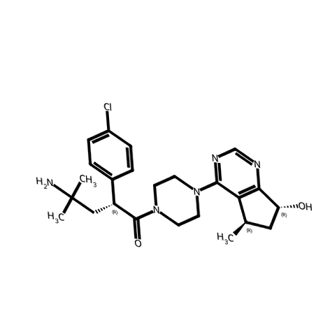 C[C@@H]1C[C@@H](O)c2ncnc(N3CCN(C(=O)[C@H](CC(C)(C)N)c4ccc(Cl)cc4)CC3)c21